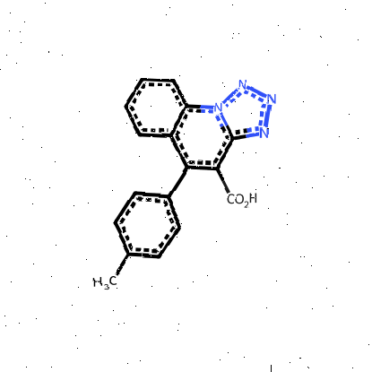 Cc1ccc(-c2c(C(=O)O)c3nnnn3c3ccccc23)cc1